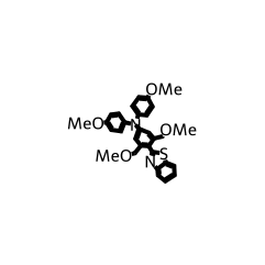 COCc1cc(N(c2ccc(OC)cc2)c2ccc(OC)cc2)cc(COC)c1-c1nc2ccccc2s1